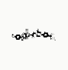 COc1ccc(S(=O)(=O)N[C@@H](CNC(=O)CN2CCN(c3ccc(C(=N)N)cc3)CC2=O)C(=O)O)cc1